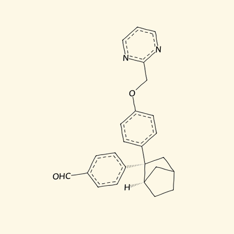 O=Cc1ccc([C@]2(c3ccc(OCc4ncccn4)cc3)CC3CC[C@@H]2C3)cc1